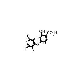 O=C(O)c1cnc(Sc2c(F)c(F)nc(F)c2F)nc1O